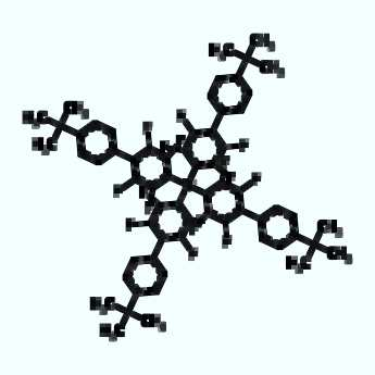 CC(C)(C)c1ccc(-c2c(F)c(F)c([B-](c3c(F)c(F)c(-c4ccc(C(C)(C)C)cc4)c(F)c3F)(c3c(F)c(F)c(-c4ccc(C(C)(C)C)cc4)c(F)c3F)c3c(F)c(F)c(-c4ccc(C(C)(C)C)cc4)c(F)c3F)c(F)c2F)cc1